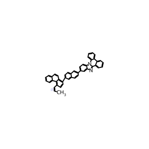 C/C=C\c1ccc(-c2ccc3cc(-c4ccc5c(c4)nc4c6ccccc6c6ccccc6n54)ccc3c2)c2ccc3ccccc3c12